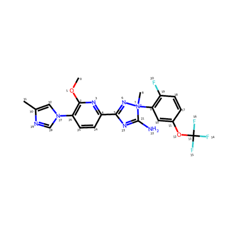 COc1nc(C2=N[N+](C)(c3cc(OC(F)(F)F)ccc3F)C(N)=N2)ccc1-n1cnc(C)c1